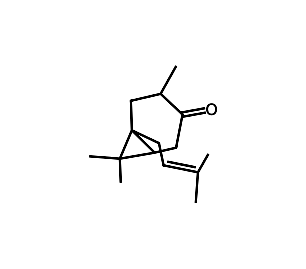 CC(C)=CCC12CC(C)C(=O)CC1C2(C)C